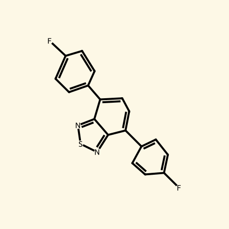 Fc1ccc(-c2ccc(-c3ccc(F)cc3)c3nsnc23)cc1